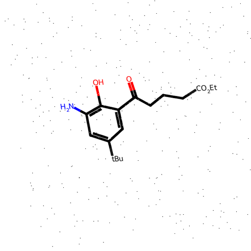 CCOC(=O)CCCC(=O)c1cc(C(C)(C)C)cc(N)c1O